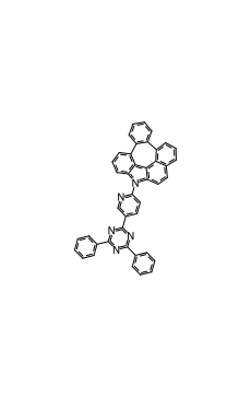 c1ccc(-c2nc(-c3ccccc3)nc(-c3ccc(-n4c5cccc6c5c5c7c(cccc7ccc54)-c4ccccc4-6)nc3)n2)cc1